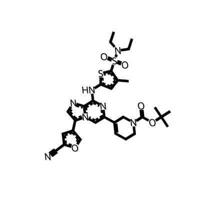 CCN(CC)S(=O)(=O)c1sc(Nc2nc(C3=CCCN(C(=O)OC(C)(C)C)C3)cn3c(-c4coc(C#N)c4)cnc23)cc1C